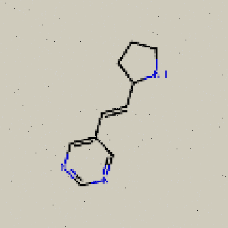 C(=CC1CCCN1)c1cncnc1